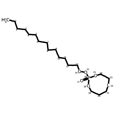 CCCCCCCCCCCCCCOOP1(=O)OCCCCCCO1